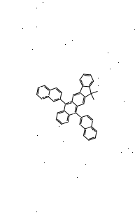 CC1(C)c2ccccc2-c2cc3c(-c4ccc5ccccc5c4)c4ccccc4c(-c4ccc5ccccc5c4)c3cc21